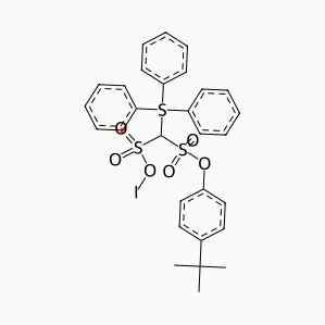 CC(C)(C)c1ccc(OS(=O)(=O)C(S(c2ccccc2)(c2ccccc2)c2ccccc2)S(=O)(=O)OI)cc1